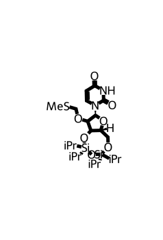 CSCOC1C2O[Si](C(C)C)(C(C)C)O[Si](C(C)C)(C(C)C)OC[C@H]2O[C@H]1n1ccc(=O)[nH]c1=O